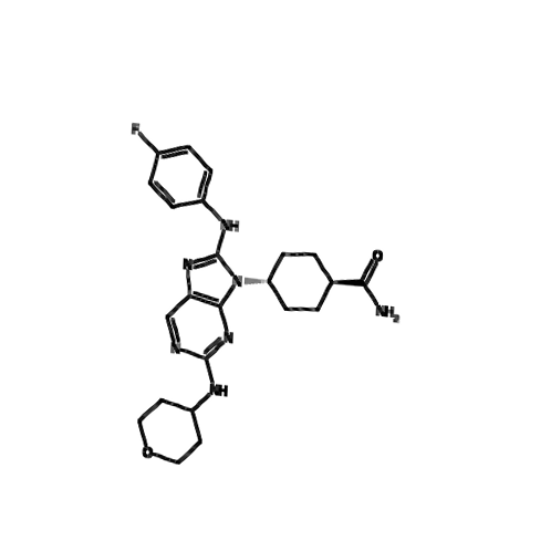 NC(=O)[C@H]1CC[C@H](n2c(Nc3ccc(F)cc3)nc3cnc(NC4CCOCC4)nc32)CC1